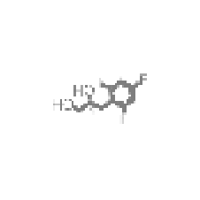 OC[C@@H](O)Cc1c(I)[c]c(F)cc1F